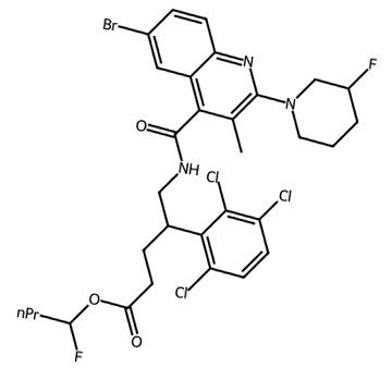 CCCC(F)OC(=O)CCC(CNC(=O)c1c(C)c(N2CCCC(F)C2)nc2ccc(Br)cc12)c1c(Cl)ccc(Cl)c1Cl